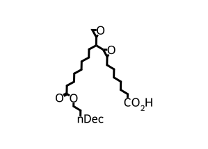 CCCCCCCCCCCCOC(=O)CCCCCCCC(C1CO1)C1OC1CCCCCCC(=O)O